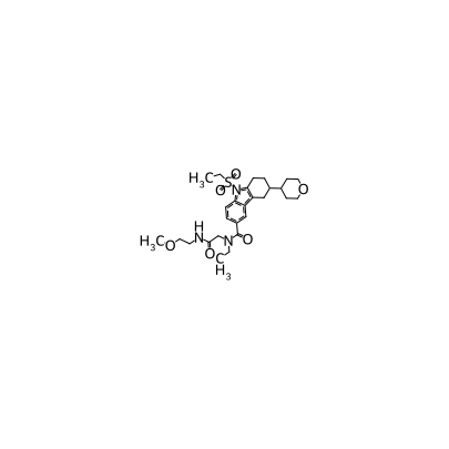 CCN(CC(=O)NCCOC)C(=O)c1ccc2c(c1)c1c(n2S(=O)(=O)CC)CCC(C2CCOCC2)C1